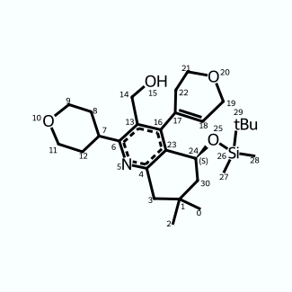 CC1(C)Cc2nc(C3CCOCC3)c(CO)c(C3=CCOCC3)c2[C@@H](O[Si](C)(C)C(C)(C)C)C1